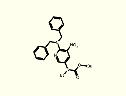 CCN(C(=O)OC(C)(C)C)c1cnc(N(Cc2ccccc2)Cc2ccccc2)c([N+](=O)[O-])c1